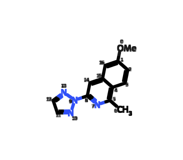 COc1ccc2c(C)nc(-n3nccn3)cc2c1